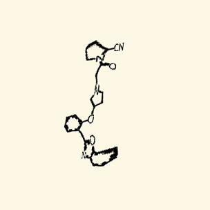 N#CC1CCCN1C(=O)CN1CCC(Oc2ccccc2-c2nc3ccccc3o2)C1